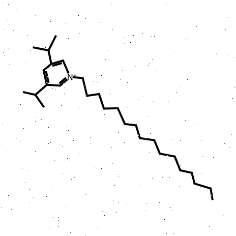 CCCCCCCCCCCCCCCC[n+]1cc(C(C)C)cc(C(C)C)c1